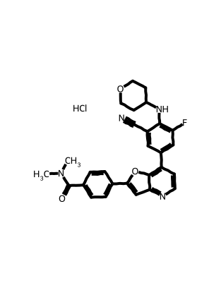 CN(C)C(=O)c1ccc(-c2cc3nccc(-c4cc(F)c(NC5CCOCC5)c(C#N)c4)c3o2)cc1.Cl